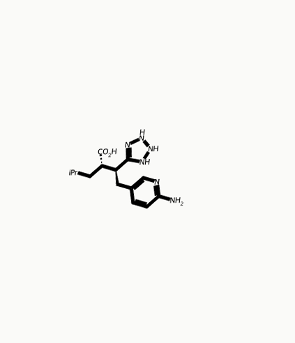 CC(C)C[C@H](C(=O)O)[C@H](Cc1ccc(N)nc1)C1=NNNN1